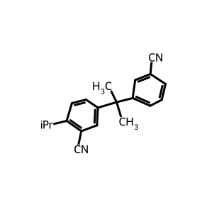 CC(C)c1ccc(C(C)(C)c2cccc(C#N)c2)cc1C#N